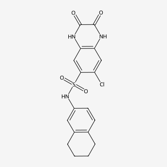 O=c1[nH]c2cc(Cl)c(S(=O)(=O)Nc3ccc4c(c3)CCCC4)cc2[nH]c1=O